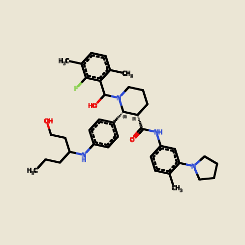 CCCC(CCO)Nc1ccc([C@H]2[C@@H](C(=O)Nc3ccc(C)c(N4CCCC4)c3)CCCN2C(O)c2c(C)ccc(C)c2F)cc1